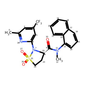 Cc1cc(C(F)(F)F)cc(N2[C@H](C(=O)N(C)c3cccc4ccccc34)CCS2(=O)=O)n1